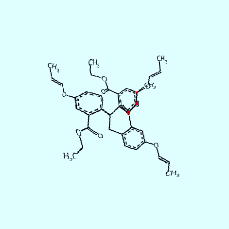 CC=COc1ccc(CC(c2ccc(OC=CC)cc2C(=O)OCC)c2ccc(OC=CC)cc2C(=O)OCC)c(C(=O)OCC)c1